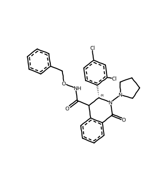 O=C(NOCc1ccccc1)C1c2ccccc2C(=O)N(N2CCCC2)[C@H]1c1ccc(Cl)cc1Cl